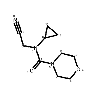 N#CCN(C(=O)N1CCOCC1)C1CC1